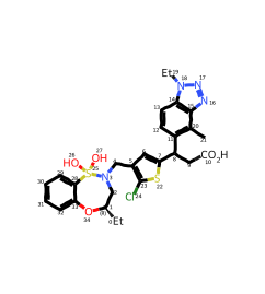 CC[C@@H]1CN(Cc2cc(C(CC(=O)O)c3ccc4c(nnn4CC)c3C)sc2Cl)S(O)(O)c2ccccc2O1